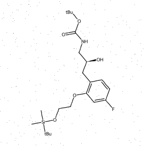 CC(C)(C)OC(=O)NC[C@@H](O)Cc1ccc(F)cc1OCCO[Si](C)(C)C(C)(C)C